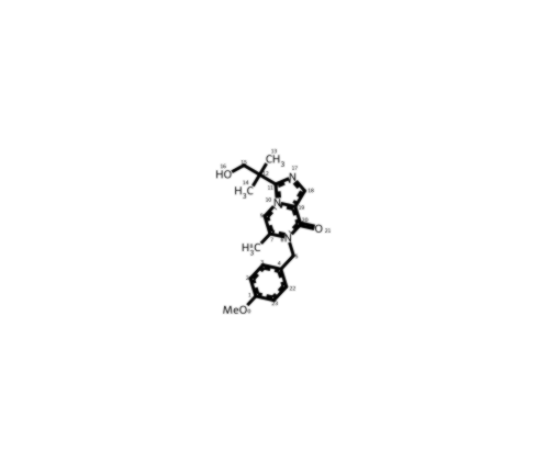 COc1ccc(Cn2c(C)cn3c(C(C)(C)CO)ncc3c2=O)cc1